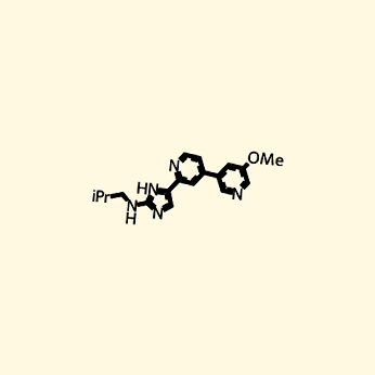 COc1cncc(-c2ccnc(-c3cnc(NCC(C)C)[nH]3)c2)c1